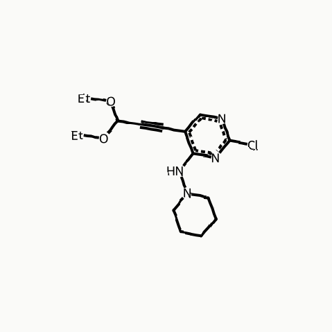 CCOC(C#Cc1cnc(Cl)nc1NN1CCCCC1)OCC